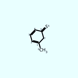 CC1=CC=[C]C(=S)C1